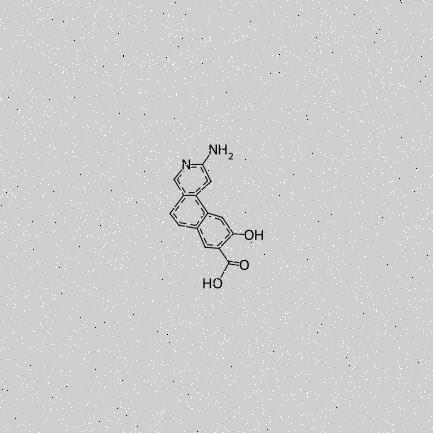 Nc1cc2c(ccc3cc(C(=O)O)c(O)cc32)cn1